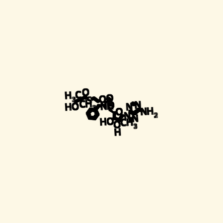 CC(C)(CO)C(=O)SCCOP(=O)(NCc1ccccc1)OC[C@H]1O[C@@H](n2cnc3c(N)ncnc32)C(C)(O)C1O